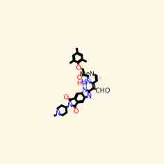 CN/C=C\C(NC[C@@H](O)COc1c(C)cc(C)cc1C)=C(/C=O)C1=NC2C=C3C(=O)N(C4CCN(C)CC4)C(=O)C3=CC2N1